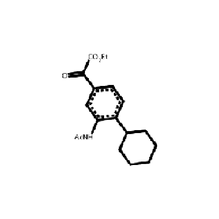 CCOC(=O)C(=O)c1ccc(C2CCCCC2)c(NC(C)=O)c1